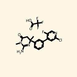 CN1C(=O)CC(C)(c2cccc(-c3cc(Cl)ncc3F)c2)N=C1N.O=C(O)C(F)(F)F